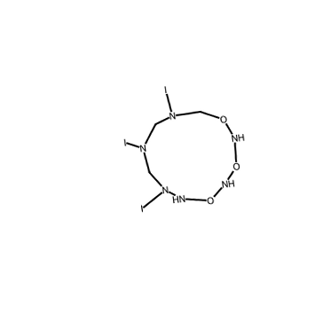 IN1CONONONN(I)CN(I)C1